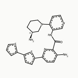 Nc1ccc(-c2ccc(-c3cccs3)s2)nc1C(=O)Nc1cnccc1N1CCC[C@H](N)C1